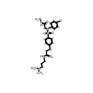 CN(C)CCCNC(=O)CCc1ccc(S(=O)(=O)N(CC(=O)NN)c2ccc(Cl)cc2)cc1